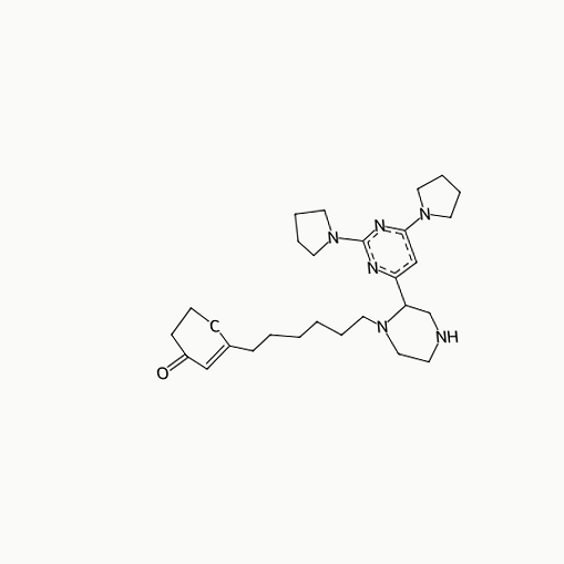 O=C1C=C(CCCCCCN2CCNCC2c2cc(N3CCCC3)nc(N3CCCC3)n2)CCC1